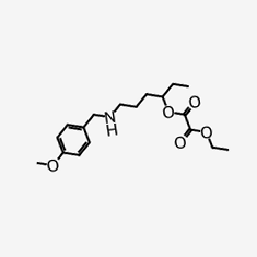 CCOC(=O)C(=O)OC(CC)CCCNCc1ccc(OC)cc1